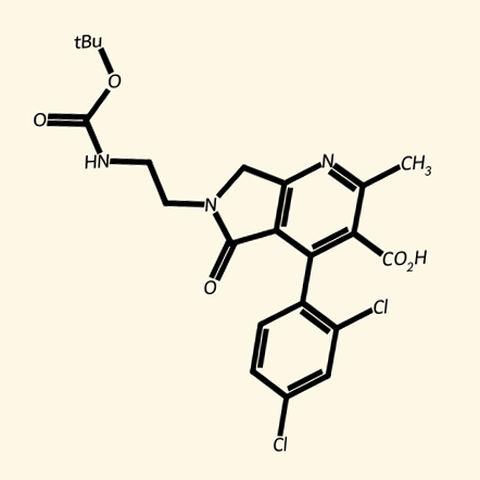 Cc1nc2c(c(-c3ccc(Cl)cc3Cl)c1C(=O)O)C(=O)N(CCNC(=O)OC(C)(C)C)C2